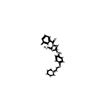 Cc1cccc(C(=O)n2nc(Nc3ccc(OCCN4CCCCC4)cc3)nc2N)c1